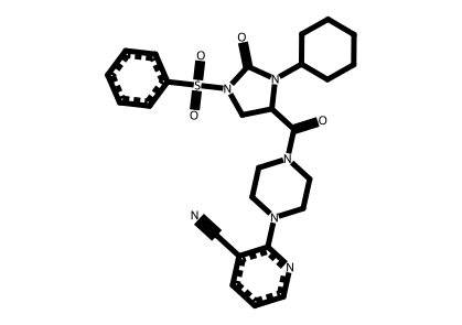 N#Cc1cccnc1N1CCN(C(=O)C2CN(S(=O)(=O)c3ccccc3)C(=O)N2C2CCCCC2)CC1